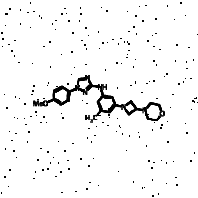 COc1ccc(-n2cnc(Nc3cc(C)cc(N4CC(N5CCOCC5)C4)c3)n2)cc1